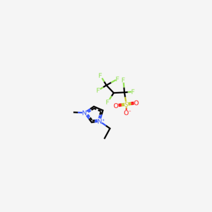 CC[n+]1ccn(C)c1.O=S(=O)([O-])C(F)(F)C(F)C(F)(F)F